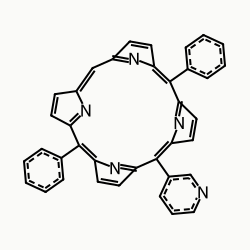 C1=CC2=NC1=CC1=NC(=C(c3ccccc3)C3=NC(=C(c4cccnc4)C4=NC(=C2c2ccccc2)C=C4)C=C3)C=C1